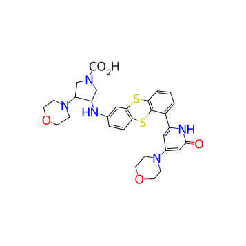 O=C(O)N1CC(Nc2ccc3c(c2)Sc2cccc(-c4cc(N5CCOCC5)cc(=O)[nH]4)c2S3)C(N2CCOCC2)C1